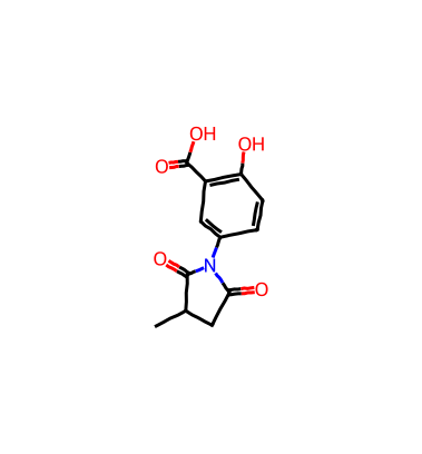 CC1CC(=O)N(c2ccc(O)c(C(=O)O)c2)C1=O